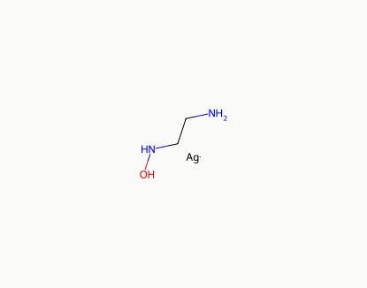 NCCNO.[Ag]